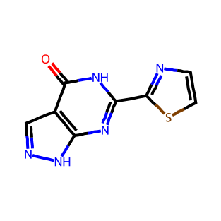 O=c1[nH]c(-c2nccs2)nc2[nH]ncc12